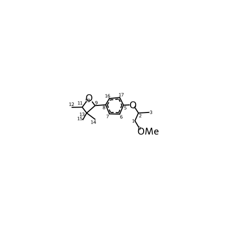 COCC(C)Oc1ccc(C2OC(C)C2(C)C)cc1